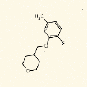 Cc1ccc(F)c(OCC2CCOCC2)c1